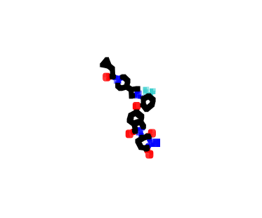 O=C1CCC(N2Cc3cc(O[C@@H]4CCCC(F)(F)[C@H]4N4CC(C5CCN(C(=O)CC6CC6)CC5)C4)ccc3C2=O)C(=O)N1